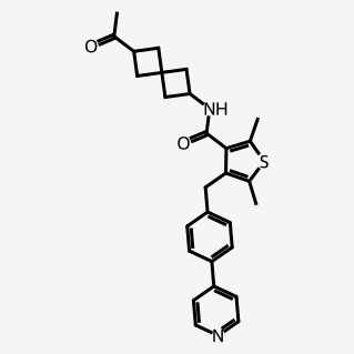 CC(=O)C1CC2(CC(NC(=O)c3c(C)sc(C)c3Cc3ccc(-c4ccncc4)cc3)C2)C1